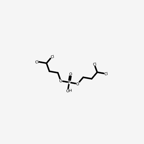 O=P(O)(OCCC(Cl)Cl)OCCC(Cl)Cl